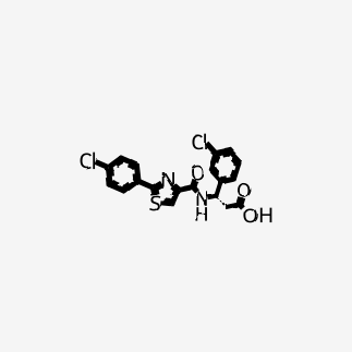 O=C(O)C[C@H](NC(=O)c1csc(-c2ccc(Cl)cc2)n1)c1cccc(Cl)c1